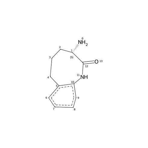 N[C@H]1CCCc2ccccc2NC1=O